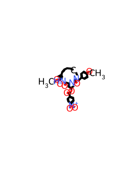 CCOC(=O)C12CC1C=CCCCCCN(Cc1ccc(OC)cc1)C(=O)N1CC(OC(=O)c3ccc([N+](=O)[O-])cc3)CC1C(=O)N2